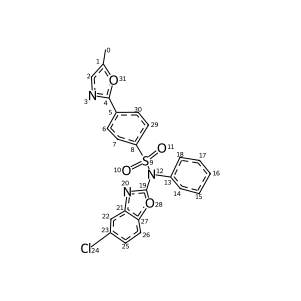 Cc1cnc(-c2ccc(S(=O)(=O)N(c3ccccc3)c3nc4cc(Cl)ccc4o3)cc2)o1